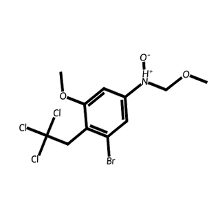 COC[NH+]([O-])c1cc(Br)c(CC(Cl)(Cl)Cl)c(OC)c1